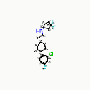 Fc1ccc([C@H]2CC[C@@H](CCNC3CCC(F)(F)C3)CC2)c(Cl)c1